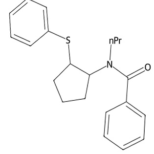 CCCN(C(=O)c1ccccc1)C1CCCC1Sc1ccccc1